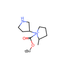 CC1CCC[N+]1(C(=O)OC(C)(C)C)C1CCNC1